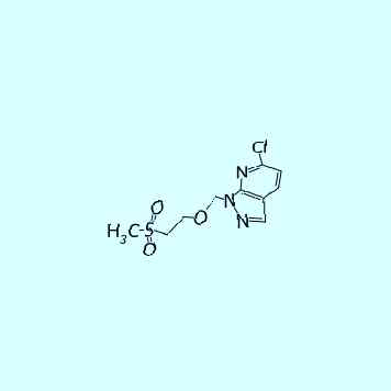 CS(=O)(=O)CCOCn1ncc2ccc(Cl)nc21